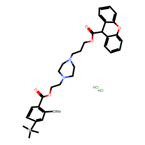 COc1cc([Si](C)(C)C)ccc1C(=O)OCCN1CCN(CCCOC(=O)C2c3ccccc3Oc3ccccc32)CC1.Cl.Cl